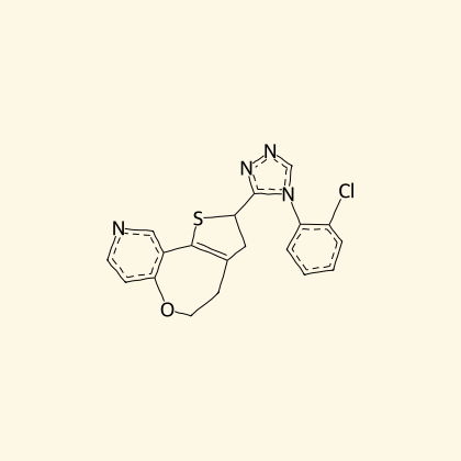 Clc1ccccc1-n1cnnc1C1CC2=C(S1)c1cnccc1OCC2